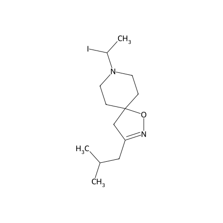 CC(C)CC1=NOC2(CCN(C(C)I)CC2)C1